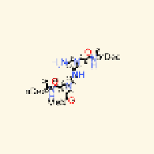 CCCCCCCCCCC(C)NC(=O)CCN(CCN)CCNCCN(CCC(=O)NC)CCC(=O)NC(C)CCCCCCCCCC